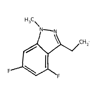 [CH2]Cc1nn(C)c2cc(F)cc(F)c12